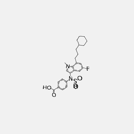 Cn1cc(N(c2ccc(C(=O)O)cc2)[SH](=O)=O)c2cc(F)cc(CCCC3CCCCC3)c21